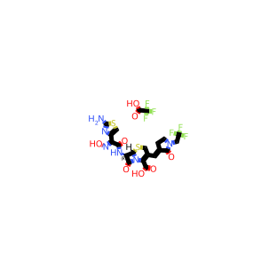 Nc1nc(C(=NO)C(=O)N[C@@H]2C(=O)N3C(C(=O)O)=C(C=C4CCN(CC(F)(F)F)C4=O)CS[C@H]23)cs1.O=C(O)C(F)(F)F